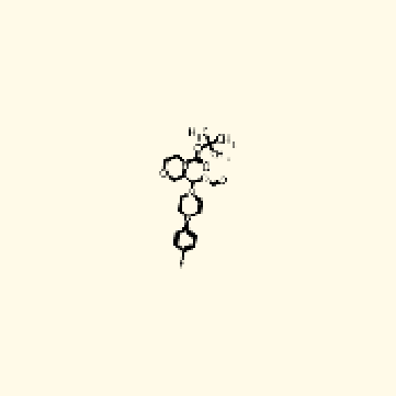 CC(C)(C)OC(=O)N1CCOC[C@@H]1C(OC=O)N1CCN(c2ccc(F)cc2)CC1